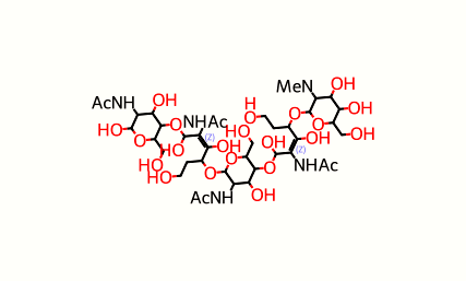 CNC1C(OC(CCO)/C(O)=C(/NC(C)=O)C(O)OC2C(CO)OC(OC(CCO)/C(O)=C(/NC(C)=O)C(O)OC3C(CO)OC(O)C(NC(C)=O)C3O)C(NC(C)=O)C2O)OC(CO)C(O)C1O